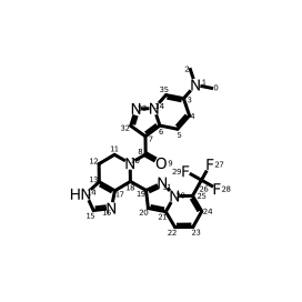 CN(C)c1ccc2c(C(=O)N3CCc4[nH]cnc4C3c3cc4cccc(C(F)(F)F)n4n3)cnn2c1